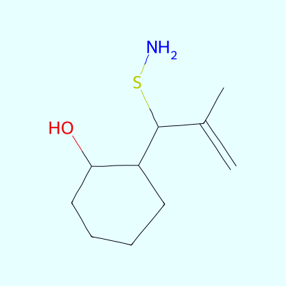 C=C(C)C(SN)C1CCCCC1O